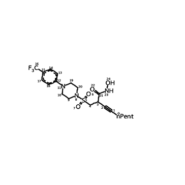 CCCCCC#CC(CS(=O)(=O)N1CCN(c2ccc(C(F)(F)F)cc2)CC1)C(=O)NO